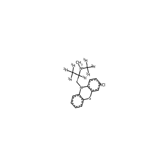 Cl.[2H]C([2H])([2H])N(C)C([2H])(CN1c2ccccc2Sc2ccccc21)C([2H])([2H])[2H]